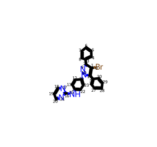 Brc1c(-c2ccccc2)nn(-c2ccc(Nc3ncccn3)cc2)c1-c1ccccc1